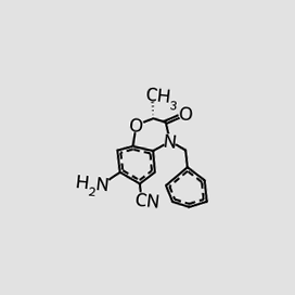 C[C@H]1Oc2cc(N)c(C#N)cc2N(Cc2ccccc2)C1=O